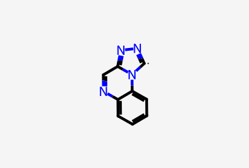 [c]1nnc2cnc3ccccc3n12